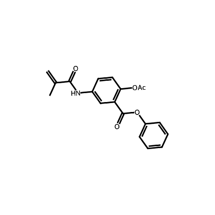 C=C(C)C(=O)Nc1ccc(OC(C)=O)c(C(=O)Oc2ccccc2)c1